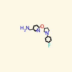 NCc1ccc(OC2CCN(c3ccc(F)cc3)C2)nc1